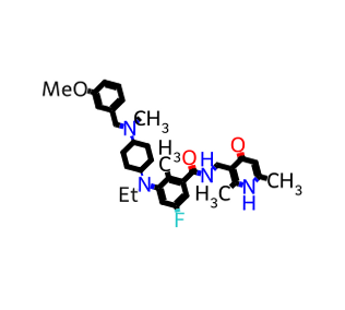 CCN(c1cc(F)cc(C(=O)NCc2c(C)[nH]c(C)cc2=O)c1C)[C@H]1CC[C@H](N(C)Cc2cccc(OC)c2)CC1